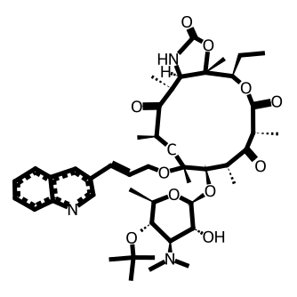 CC[C@H]1OC(=O)[C@H](C)C(=O)[C@H](C)[C@@H](O[C@@H]2O[C@H](C)[C@@H](OC(C)(C)C)[C@H](N(C)C)[C@H]2O)[C@](C)(OC/C=C/c2cnc3ccccc3c2)C[C@@H](C)C(=O)[C@H](C)[C@H]2NC(=O)O[C@@]21C